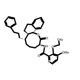 COc1ccnc(C(=O)N[C@H]2CCC[C@H](CCCc3ccccc3)[C@@H](CCc3ccccc3)[C@H](C)OC2=O)c1OCOC(C)=O